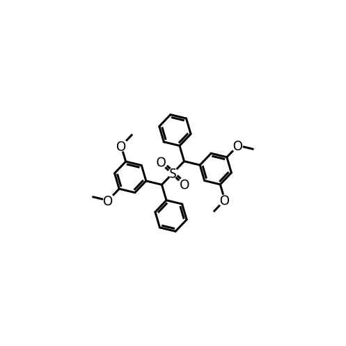 COc1cc(OC)cc(C(c2ccccc2)S(=O)(=O)C(c2ccccc2)c2cc(OC)cc(OC)c2)c1